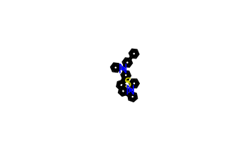 c1ccc(-c2ccc(N(c3ccccc3)c3ccc4sc5c(ccc6ccc7c8ccccc8n(-c8ccccc8)c7c65)c4c3)cc2)cc1